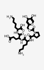 NCCCCC(NC(=O)C(CCC(=O)O)NC(=O)C(CCCCN)NC(=O)C1CCCN1C(=O)OCC1=CC(O)C(O)=CO1)C(=O)O